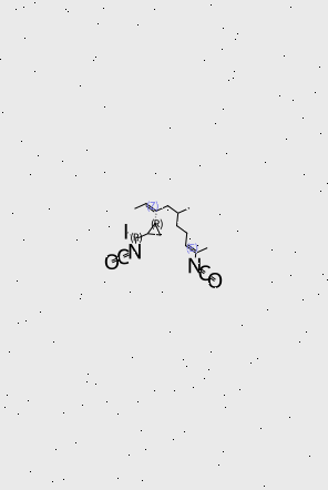 C/C=C(/CC(C)CC/C=C(\C)N=C=O)[C@@H]1CC1[C@@H](I)N=C=O